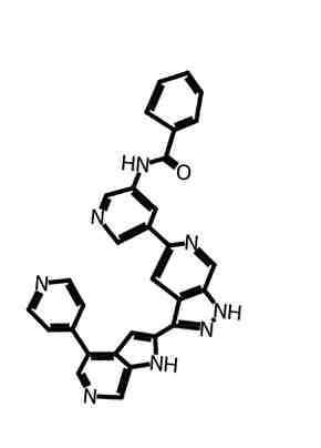 O=C(Nc1cncc(-c2cc3c(-c4cc5c(-c6ccncc6)cncc5[nH]4)n[nH]c3cn2)c1)c1ccccc1